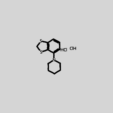 Cl.Cl.c1cc2c(c(N3CCCCC3)c1)SCS2